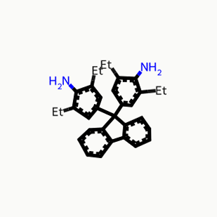 CCc1cc(C2(c3cc(CC)c(N)c(CC)c3)c3ccccc3-c3ccccc32)cc(CC)c1N